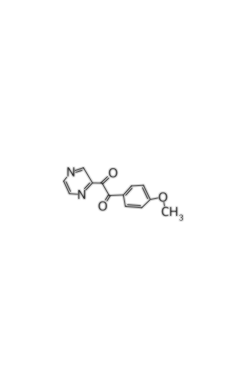 COc1ccc(C(=O)C(=O)c2cnccn2)cc1